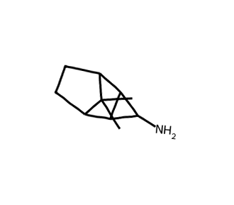 CC1(C)C2CCC1C1C(N)C12